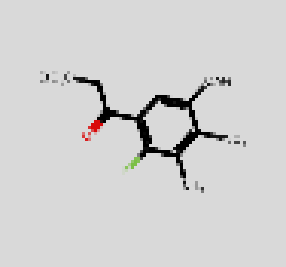 CCOC(=O)CC(=O)c1cc(OC)c([N+](=O)[O-])c(C)c1F